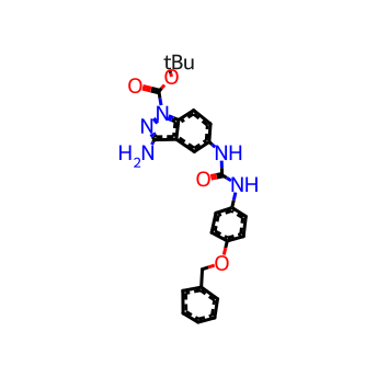 CC(C)(C)OC(=O)n1nc(N)c2cc(NC(=O)Nc3ccc(OCc4ccccc4)cc3)ccc21